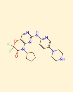 O=C1N(C2CCCC2)c2nc(Nc3ccc(N4CCNCC4)cn3)ncc2OC1(F)F